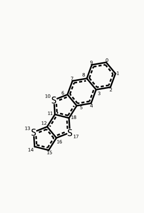 c1ccc2cc3c(cc2c1)sc1c2sccc2sc31